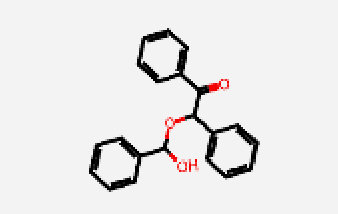 O=C(c1ccccc1)C(OC(O)c1ccccc1)c1ccccc1